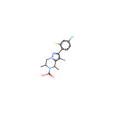 CC1Cn2nc(-c3ccc(Cl)cc3F)c(I)c2C(C)N1C(=O)O